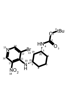 CC(C)(C)OC(=O)N[C@@H]1CCC[C@H](Nc2c(Br)cncc2[N+](=O)[O-])C1